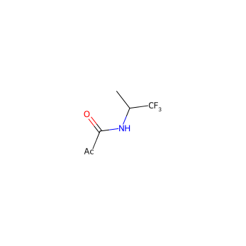 CC(=O)C(=O)NC(C)C(F)(F)F